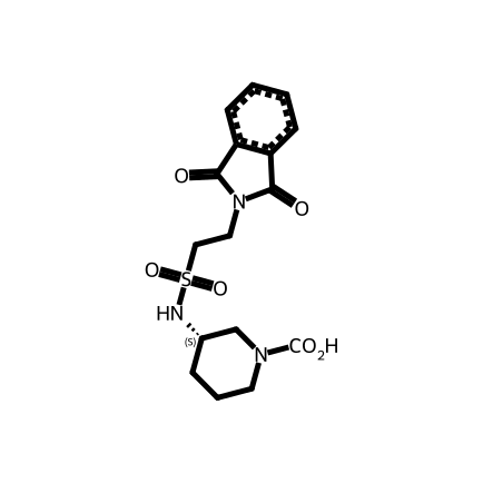 O=C(O)N1CCC[C@H](NS(=O)(=O)CCN2C(=O)c3ccccc3C2=O)C1